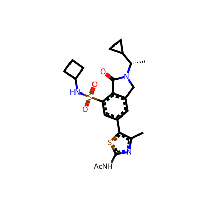 CC(=O)Nc1nc(C)c(-c2cc3c(c(S(=O)(=O)NC4CCC4)c2)C(=O)N([C@@H](C)C2CC2)C3)s1